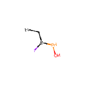 CCCB(I)PO